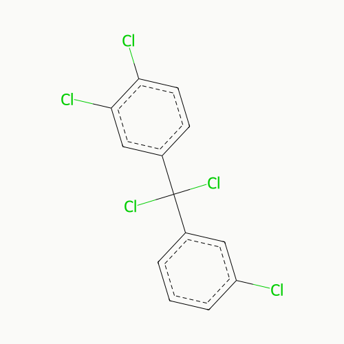 Clc1cccc(C(Cl)(Cl)c2ccc(Cl)c(Cl)c2)c1